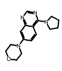 c1nc(N2CCCC2)c2ccc(N3CCOCC3)cc2n1